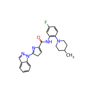 CC1CCN(c2ccc(F)cc2NC(=O)C2=CCC(n3ncc4ccccc43)=N2)CC1